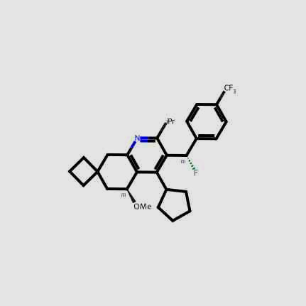 CO[C@H]1CC2(CCC2)Cc2nc(C(C)C)c([C@@H](F)c3ccc(C(F)(F)F)cc3)c(C3CCCC3)c21